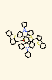 c1ccc(N2c3ccccc3C3(c4ccccc42)c2cc(-c4cccc5c4sc4ccccc45)sc2C2(c4ccccc4N(c4ccccc4)c4ccccc42)c2cc(-c4cccc5c4sc4ccccc45)sc23)cc1